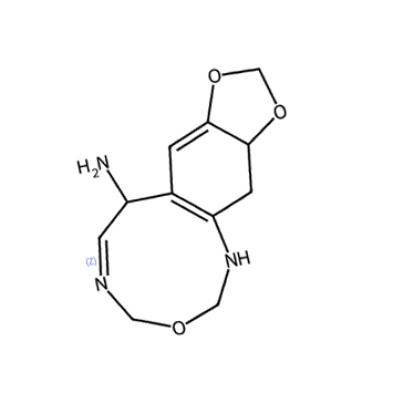 NC1/C=N\COCNC2=C1C=C1OCOC1C2